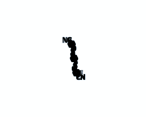 N#Cc1ccc(OCCCN2CCC(CCCOc3ccc(C#N)c(F)c3)CC2)cc1